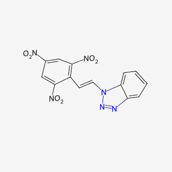 O=[N+]([O-])c1cc([N+](=O)[O-])c(C=Cn2nnc3ccccc32)c([N+](=O)[O-])c1